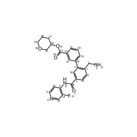 NCc1ccc(C(=O)Nc2ccncc2F)cc1-c1cccc(C(=O)OC2CCCOC2)c1